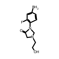 Bc1ccc(N2CN(CCO)CC2=O)c(F)c1